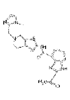 Cn1ccnc1CN1CCc2nc(NC(=O)c3cccc4[nH]c(C(N)=O)nc34)sc2C1